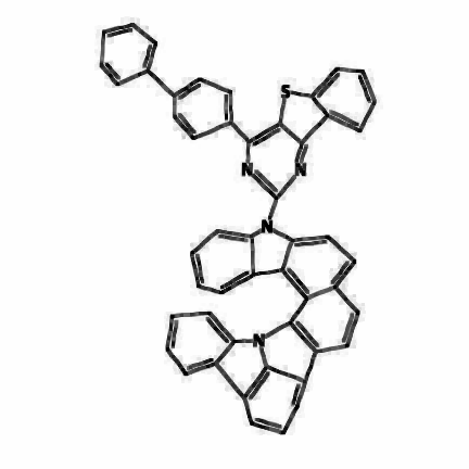 c1ccc(-c2ccc(-c3nc(-n4c5ccccc5c5c6c(ccc7c8cccc9c%10ccccc%10n(c98)c76)ccc54)nc4c3sc3ccccc34)cc2)cc1